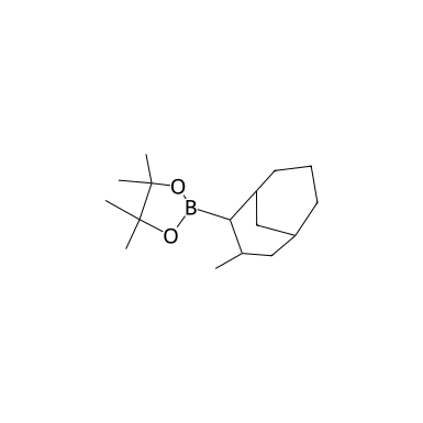 CC1CC2CCCC(C2)C1B1OC(C)(C)C(C)(C)O1